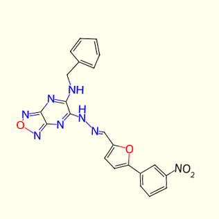 O=[N+]([O-])c1cccc(-c2ccc(C=NNc3nc4nonc4nc3NCc3ccccc3)o2)c1